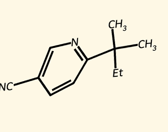 CCC(C)(C)c1ccc(C#N)cn1